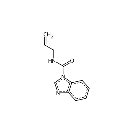 C=CCNC(=O)n1cnc2ccccc21